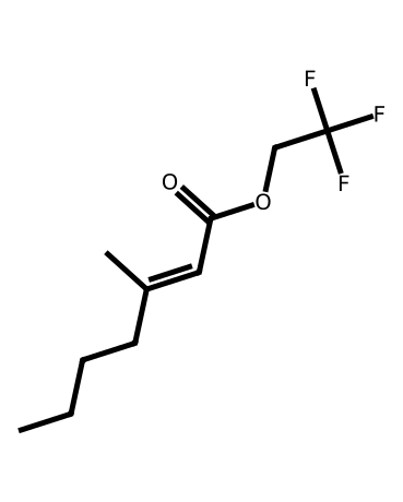 CCCC/C(C)=C/C(=O)OCC(F)(F)F